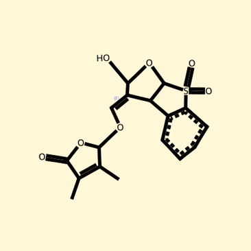 CC1=C(C)C(O/C=C2/C(O)OC3C2c2ccccc2S3(=O)=O)OC1=O